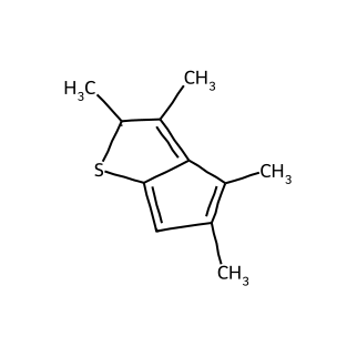 C[C]1SC2=CC(C)=C(C)C2=C1C